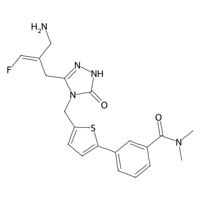 CN(C)C(=O)c1cccc(-c2ccc(Cn3c(C/C(=C\F)CN)n[nH]c3=O)s2)c1